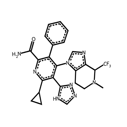 CN1CCc2c(ncn2-c2c(-c3ccccc3)c(C(N)=O)nc(C3CC3)c2-c2nnc[nH]2)C1C(F)(F)F